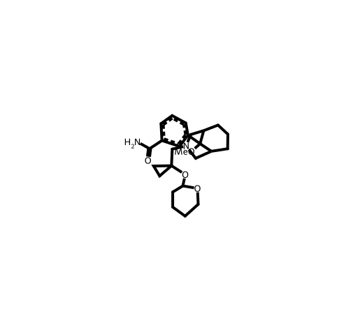 COC1(c2cccc(C(N)=O)c2)C2CCCC1CN(CC1(OC3CCCCO3)CC1)C2